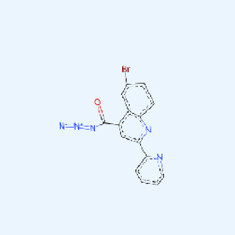 [N-]=[N+]=NC(=O)c1cc(-c2ccccn2)nc2ccc(Br)cc12